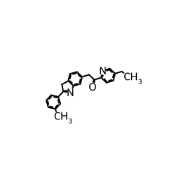 CCc1ccc(C(=O)Cc2ccc3c(c2)N=C(c2cccc(C)c2)C3)nc1